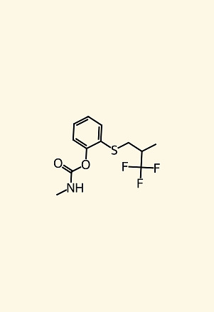 CNC(=O)Oc1ccccc1SCC(C)C(F)(F)F